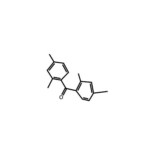 Cc1ccc(C(=O)c2ccc(C)cc2C)c(C)c1